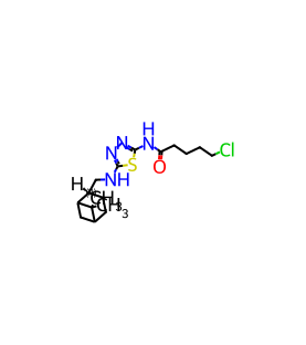 CC1(C)C2CC[C@@H](CNc3nnc(NC(=O)CCCCCl)s3)C1C2